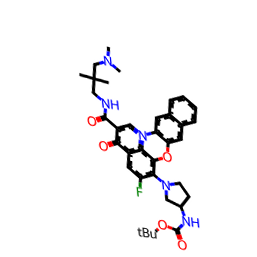 CN(C)CC(C)(C)CNC(=O)c1cn2c3c(c(N4CCC(NC(=O)OC(C)(C)C)C4)c(F)cc3c1=O)Oc1cc3ccccc3cc1-2